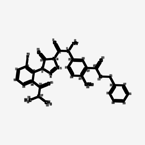 CCCN(C(=O)n1nnn(-c2c(F)cccc2C(=O)N(C)C)c1=O)c1ccc(OC)c(C(=O)OCc2ccccc2)c1